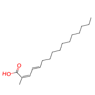 CCCCCCCCCCCC=CC=C(C)C(=O)O